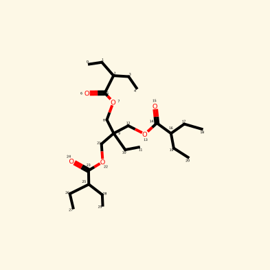 CCC(CC)C(=O)OCC(CC)(COC(=O)C(CC)CC)COC(=O)C(CC)CC